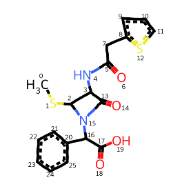 CSC1C(NC(=O)Cc2cccs2)C(=O)N1C(C(=O)O)c1ccccc1